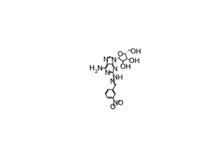 Nc1nc(NN=Cc2cccc([N+](=O)[O-])c2)nc2c1ncn2[C@@H]1O[C@H](CO)[C@@H](O)[C@H]1O